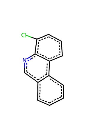 Clc1cccc2c1ncc1ccccc12